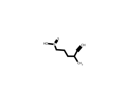 C#CC(C)CCCS(O)=S